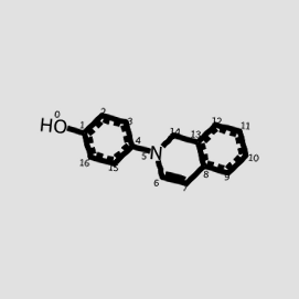 Oc1ccc(N2C=Cc3ccccc3C2)cc1